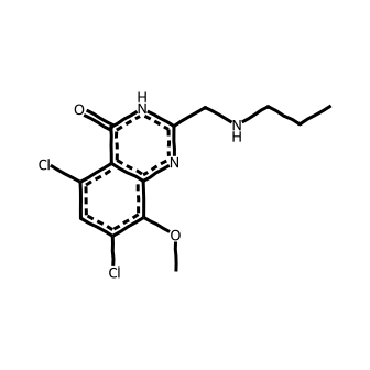 CCCNCc1nc2c(OC)c(Cl)cc(Cl)c2c(=O)[nH]1